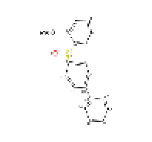 COc1ccccc1[S+]([O-])c1ccc(-c2ccccc2)cc1